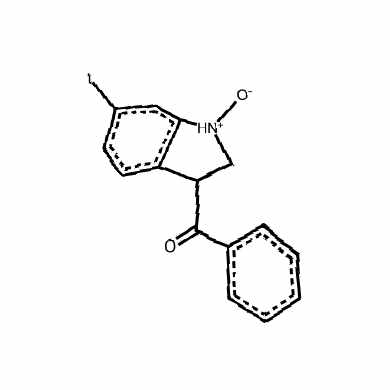 O=C(c1ccccc1)C1C[NH+]([O-])c2cc(I)ccc21